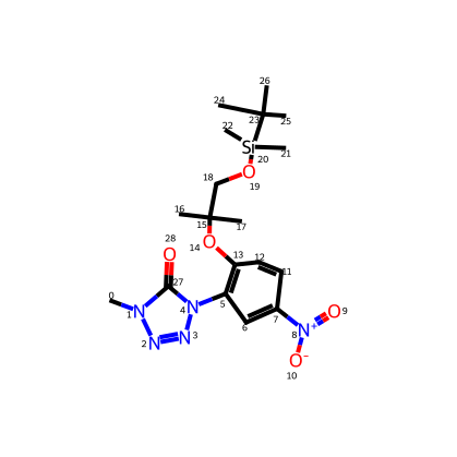 Cn1nnn(-c2cc([N+](=O)[O-])ccc2OC(C)(C)CO[Si](C)(C)C(C)(C)C)c1=O